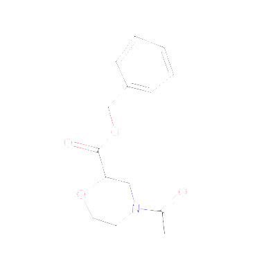 CC(=O)N1CCOC(C(=O)OCc2ccccc2)C1